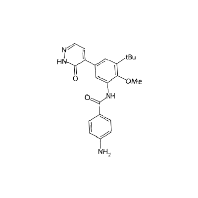 COc1c(NC(=O)c2ccc(N)cc2)cc(-c2ccn[nH]c2=O)cc1C(C)(C)C